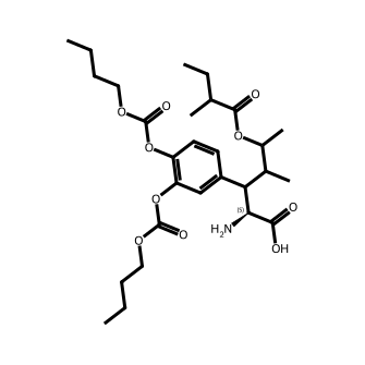 CCCCOC(=O)Oc1ccc(C(C(C)C(C)OC(=O)C(C)CC)[C@H](N)C(=O)O)cc1OC(=O)OCCCC